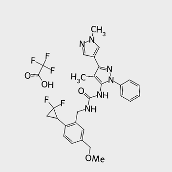 COCc1ccc(C2CC2(F)F)c(CNC(=O)Nc2c(C)c(-c3cnn(C)c3)nn2-c2ccccc2)c1.O=C(O)C(F)(F)F